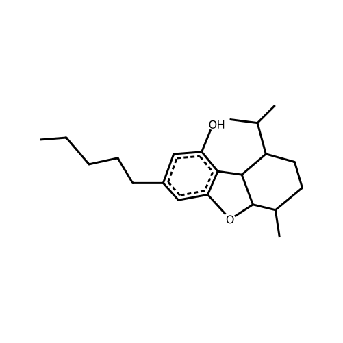 CCCCCc1cc(O)c2c(c1)OC1C(C)CCC(C(C)C)C21